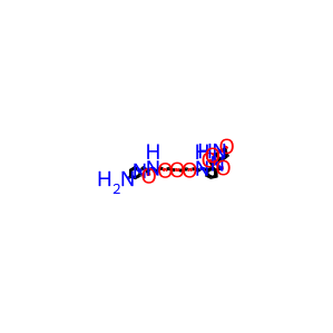 NC1CCN(CC(=O)NCCOCCOCCOCCNc2cccc3c2C(=O)N(C2CCC(=O)NC2=O)C3=O)CC1